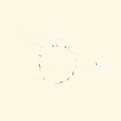 CO[C@@H]1C[C@H](C[C@@H](C)[C@@H]2CC(=O)[C@H](C)/C=C(\C)[C@@H](O)[C@@H](OC)C(=O)[C@H](C)C[C@H](C)/C=C/C=C/C=C(\C)[C@H](OCCCCC(N)=O)C[C@@H]3CC[C@@H](C)[C@@]4(OOC4(C)C(=O)N4CCCC[C@H]4C(=O)O2)O3)CC[C@H]1OCCO